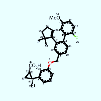 CC[C@@]1(c2cccc(OCc3ccc(-c4cc(OC)ccc4F)c(C4=CCCC4(C)C)c3)c2)C[C@H]1C(=O)O